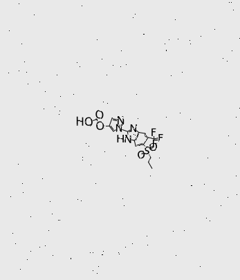 CCCS(=O)(=O)c1cc2[nH]c(-n3cc(OC(=O)O)cn3)nc2cc1C(F)(F)F